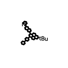 CC(C)(C)c1cc2ccc3c(-c4ccc(-c5ccccc5)cc4)cc(-c4ccc5cc(-c6ccccn6)ccc5c4)c4ccc(c1)c2c34